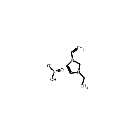 C=CN1C=CN(CC)C1.O=[N+]([O-])O